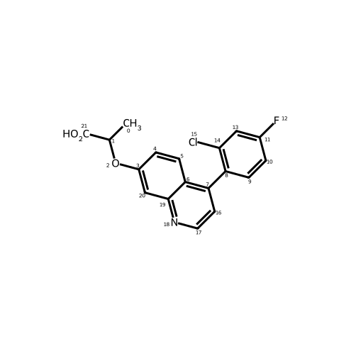 CC(Oc1ccc2c(-c3ccc(F)cc3Cl)ccnc2c1)C(=O)O